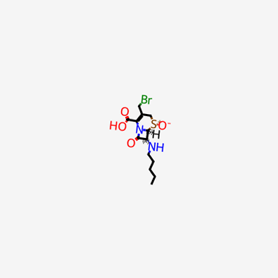 CCCCCN[C@@H]1C(=O)N2C(C(=O)O)=C(CBr)C[S+]([O-])[C@@H]12